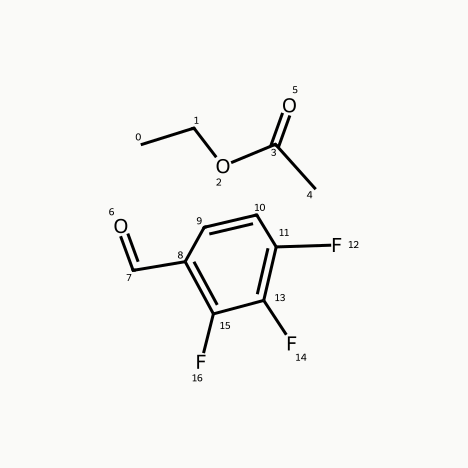 CCOC(C)=O.O=Cc1ccc(F)c(F)c1F